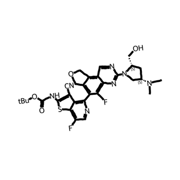 CN(C)[C@H]1C[C@@H](CO)N(c2ncc3c4c(c(-c5ncc(F)c6sc(NC(=O)OC(C)(C)C)c(C#N)c56)c(F)c3n2)COC4)C1